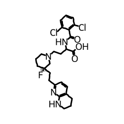 O=C(NC(CCN1CCC[C@@](F)(CCc2ccc3c(n2)NCCC3)C1)C(=O)O)c1c(Cl)cccc1Cl